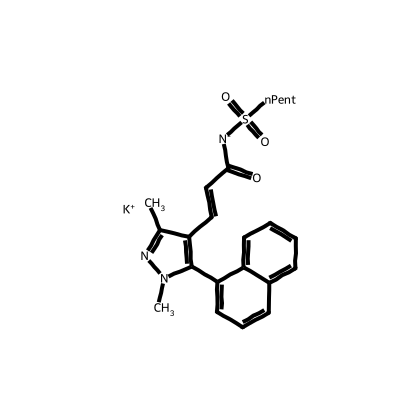 CCCCCS(=O)(=O)[N-]C(=O)/C=C/c1c(C)nn(C)c1-c1cccc2ccccc12.[K+]